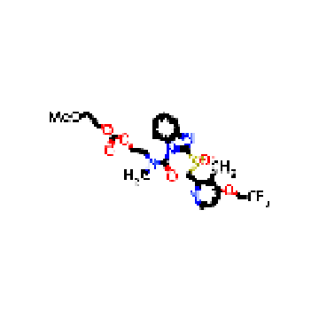 COCCOC(=O)OCCN(C)C(=O)n1c([S@+]([O-])Cc2nccc(OCC(F)(F)F)c2C)nc2ccccc21